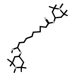 COC(CCCCCCCCC(=O)OC1CC(C)(C)N(C)C(C)(C)C1)OC1CC(C)(C)N(C)C(C)(C)C1